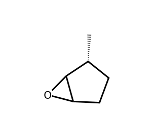 C[C@@H]1CCC2OC21